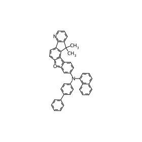 CC1(C)c2cccnc2-c2ccc3oc4cc(N(c5ccc(-c6ccccc6)cc5)c5cccc6ccccc56)ccc4c3c21